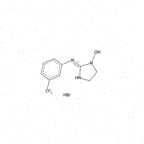 Br.ON1CCN/C1=N\c1cccc(C(F)(F)F)c1